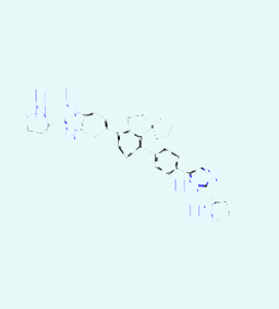 C1=C(c2ccc(-c3ccc(-c4cnc([C@@H]5CCCN5)[nH]4)cc3)c3c2CCC32CCCC2)CC2N=C([C@@H]3CCCN3)NC2=C1